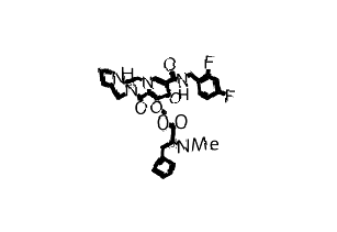 CN[C@@H](Cc1ccccc1)C(=O)OCOc1c2n(cc(C(=O)NCc3ccc(F)cc3F)c1=O)C[C@@H]1N(CC3CCCN31)C2=O